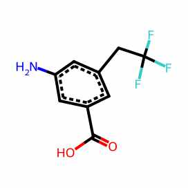 Nc1cc(CC(F)(F)F)cc(C(=O)O)c1